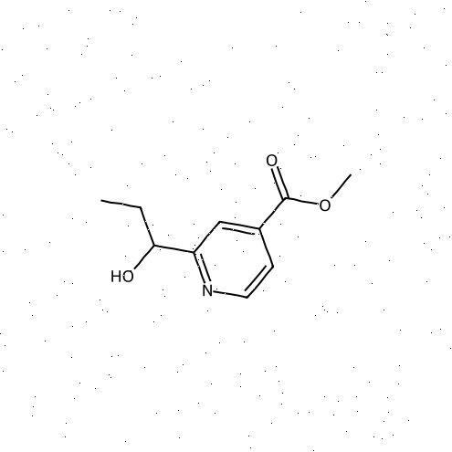 CCC(O)c1cc(C(=O)OC)ccn1